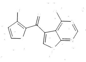 Cc1ccsc1C(=O)c1c[nH]c2ncnc(Cl)c12